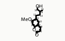 COc1cc2oc(=O)ccc2cc1CCC(C)CO